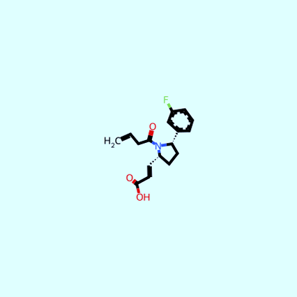 C=CCC(=O)N1[C@@H](C=CC(=O)O)CC[C@H]1c1cccc(F)c1